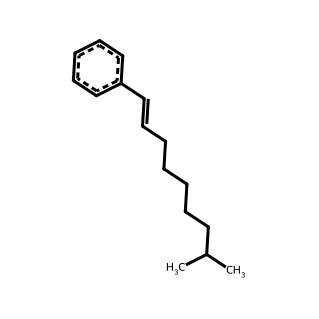 CC(C)CCCCCC=Cc1ccccc1